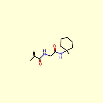 C=C(C)C(=O)NCC(=O)NC1(C)CCCCC1